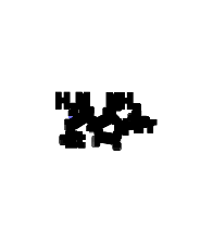 CC/C=C(/N)c1ccn(C(C)C)c1N